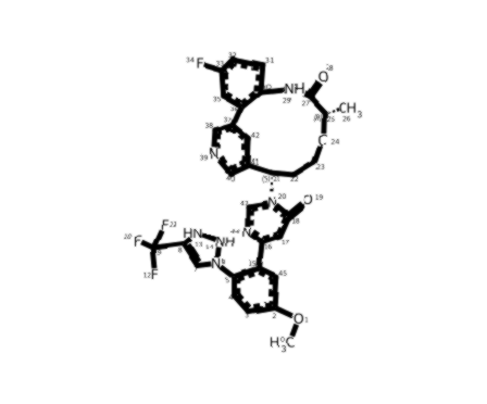 COc1ccc(N2C=C(C(F)(F)F)NN2)c(-c2cc(=O)n([C@H]3CCC[C@@H](C)C(=O)Nc4ccc(F)cc4-c4cncc3c4)cn2)c1